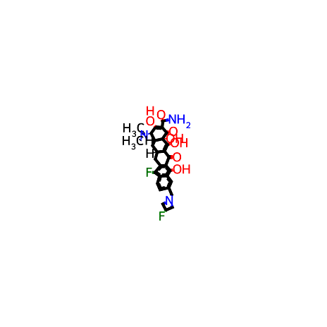 CN(C)[C@@H]1C(O)=C(C(N)=O)C(=O)[C@@]2(O)C(O)=C3C(=O)c4c(c(F)c5ccc(CN6CC(F)C6)cc5c4O)C[C@H]3C[C@@H]12